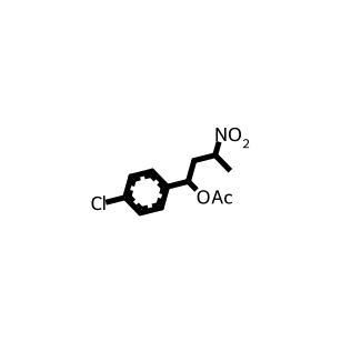 CC(=O)OC(CC(C)[N+](=O)[O-])c1ccc(Cl)cc1